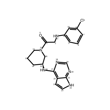 O=C(CNc1cccc(Cl)c1)N1CCC[C@H](Nc2ncnc3[nH]ccc23)C1